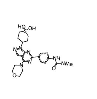 CNC(=O)Nc1ccc(-c2nc(N3CCOCC3)c3cnn(C4CCS(O)(O)CC4)c3n2)cc1